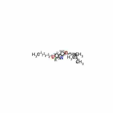 CCCCCCCCOc1ccc2c(cnc3cc(OCCCC[Si](C)(C)CCCC)ccc32)c1F